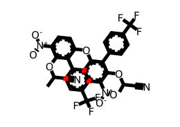 CC(C#N)Oc1c([N+](=O)[O-])ccc(Oc2ccc([N+](=O)[O-])c(OC(C)C#N)c2-c2ccc(C(F)(F)F)cc2)c1-c1ccc(C(F)(F)F)cc1